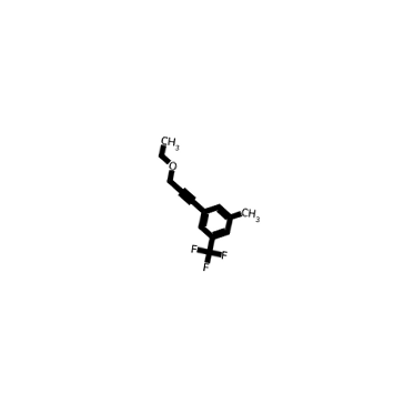 CCOCC#Cc1cc(C)cc(C(F)(F)F)c1